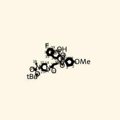 COc1ccc(S(=O)(=O)N(CCC(=O)N2CCC(N(C)C(=O)OC(C)(C)C)CC2)C(Cc2ccc(F)cc2)C(=O)NO)cc1